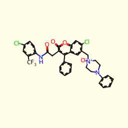 O=C(Cc1c(-c2ccccc2)c2cc(C[N+]3([O-])CCN(c4ccccc4)CC3)c(Cl)cc2oc1=O)Nc1ccc(Cl)cc1C(F)(F)F